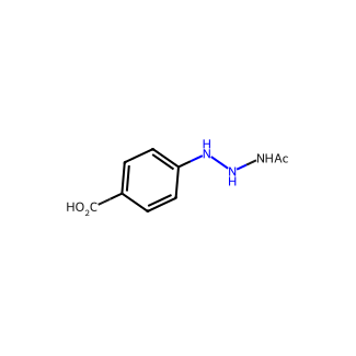 CC(=O)NNNc1ccc(C(=O)O)cc1